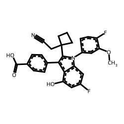 COc1cc(-n2c(C3(CC#N)CCC3)c(-c3ccc(C(=O)O)cc3)c3c(O)cc(F)cc32)ccc1F